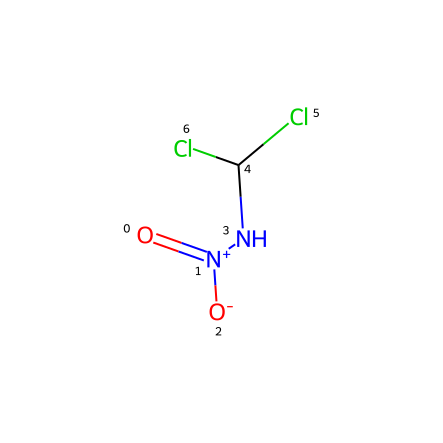 O=[N+]([O-])NC(Cl)Cl